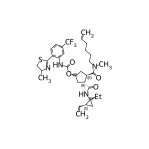 C=CCCCCN(C)C(=O)[C@@H]1C[C@H](OC(=O)Nc2cc(C(F)(F)F)ccc2C2=NC(C)CS2)C[C@H]1C(=O)N[C@]1(CC)C[C@H]1C=C